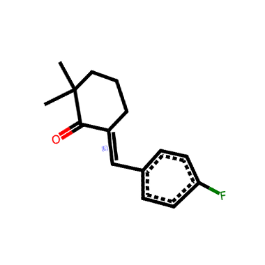 CC1(C)CCC/C(=C\c2ccc(F)cc2)C1=O